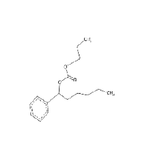 CCCCCC(OC(=O)OCCC)c1ccccc1